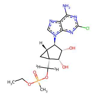 [2H]C([2H])(OP(C)(=O)OCC)[C@]12C[C@@H]1[C@@H](n1cnc3c(N)nc(Cl)nc31)[C@H](O)[C@@H]2O